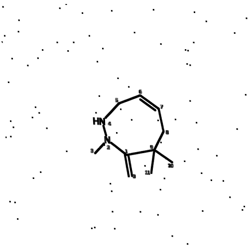 C=C1N(C)NC/C=C\CC1(C)C